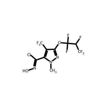 Cn1nc(OC(F)(F)C(F)C(F)(F)F)c(C(F)(F)F)c1C(Cl)=NO